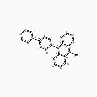 Brc1c2ccccc2c(-c2ccc(-c3ccccc3)cn2)c2ccccc12